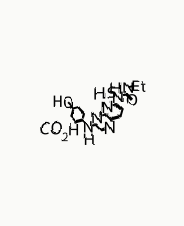 CCNC(=O)N(S)c1ccc2ncc(Nc3ccc(O)cc3C(=O)O)nc2n1